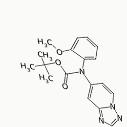 COc1ccccc1N(C(=O)OC(C)(C)C)c1ccn2ncnc2c1